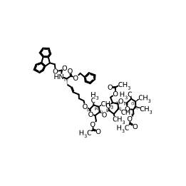 CC(=O)OCC1O[C@@H](OCCCC=CC[C@H](NC(=O)OCC2c3ccccc3-c3ccccc32)C(=O)OCc2ccccc2)C(C)[C@@H](C)[C@@H]1O[C@@H]1OC(COC(C)=O)[C@H](O[C@H]2OC(COC(C)=O)[C@H](C)[C@H](C)C2C)[C@H](C)C1C